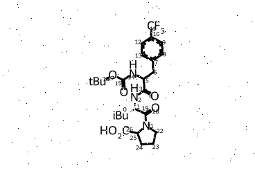 CC[C@@H](C)[C@H](NC(=O)C(Cc1ccc(C(F)(F)F)cc1)NC(=O)OC(C)(C)C)C(=O)N1CCCC1C(=O)O